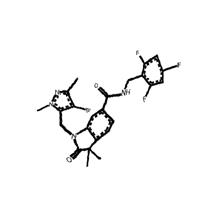 Cc1nn(C)c(CN2C(=O)C(C)(C)c3ccc(C(=O)NCc4c(F)cc(F)cc4F)cc32)c1Br